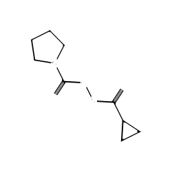 O=C(NOC(=O)N1CCCC1)C1CC1